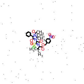 C=C(C)C(C(=O)OCc1ccc([N+](=O)[O-])cc1)N1C(=O)C(N2C(=O)C(c3ccccc3)N(C(C)=O)C2(C)C)C1[S+]([O-])Cl